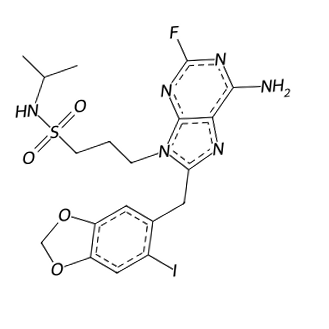 CC(C)NS(=O)(=O)CCCn1c(Cc2cc3c(cc2I)OCO3)nc2c(N)nc(F)nc21